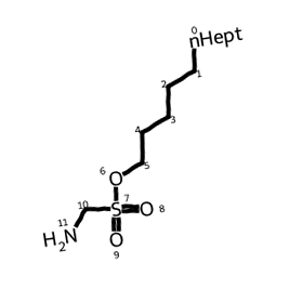 CCCCCCCCCCCCOS(=O)(=O)CN